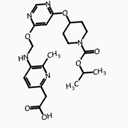 Cc1nc(CC(=O)O)ccc1NCOc1cc(OC2CCN(C(=O)OC(C)C)CC2)ncn1